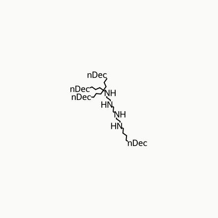 CCCCCCCCCCCCCCNCCNCCNCCNC(CCCCCCCCCCCCC)(CCCCCCCCCCCCC)CCCCCCCCCCCCC